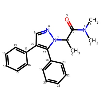 CC(C(=O)N(C)C)n1ncc(-c2ccccc2)c1-c1ccccc1